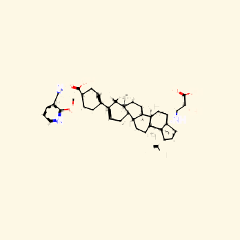 C=C(C)[C@@H]1CC[C@]2(NC[C@@H](O)C(=O)O)CC[C@]3(C)[C@H](CC[C@@H]4[C@@]5(C)CC=C(C6=CC[C@](COc7ncccc7C#N)(C(=O)O)CC6)C(C)(C)[C@@H]5CC[C@]43C)[C@@H]12